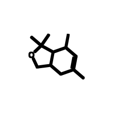 CC1=CC(C)C2C(COC2(C)C)C1